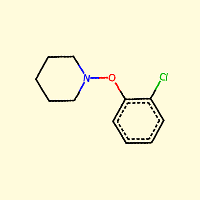 Clc1ccccc1ON1CCCCC1